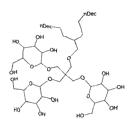 CCCCCCCCCCCCC(CCCCCCCCCCCC)COCC(COC1OC(CO)C(O)C(O)C1O)(COC1OC(CO)C(O)C(O)C1O)COC1OC(CO)C(O)C(O)C1O